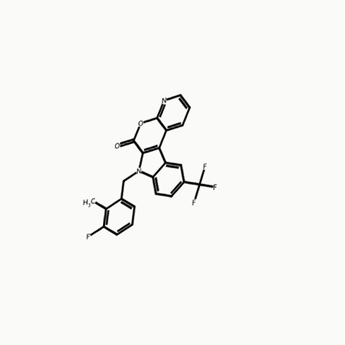 Cc1c(F)cccc1Cn1c2ccc(C(F)(F)F)cc2c2c3cccnc3oc(=O)c21